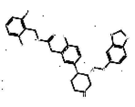 O=C(Cc1cc([C@@H]2CCNC[C@H]2COc2ccc3c(c2)OCO3)ccc1F)NCc1c(F)cccc1F